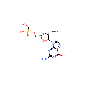 CO[C@H]1C[C@@H](COP(=O)(O)CO)OC1n1cnc2c(=O)[nH]c(N)nc21